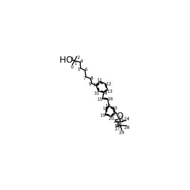 CC(C)(O)CCCCCCc1cccc(/C=C/c2cccc(O[Si](C)(C)C(C)(C)C)c2)c1